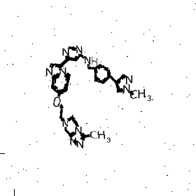 Cc1nnc2n1CCN(CCOc1ccn3c(-c4cc(NCc5ccc(-c6cnn(C)c6)cc5)ncn4)cnc3c1)C2